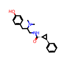 CN(C)C(CNC(=O)[C@@H]1C[C@H]1c1ccccc1)Cc1ccc(O)cc1